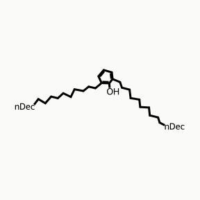 CCCCCCCCCCCCCCCCCCCCc1cccc(CCCCCCCCCCCCCCCCCCCC)c1O